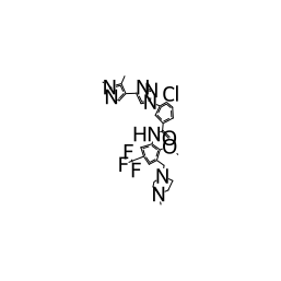 COc1c(CN2CCN(C)CC2)cc(C(F)(F)F)cc1NC(=O)c1ccc(Cl)c(-n2cc(-c3cnn(C)c3C)nn2)c1